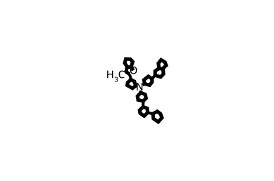 Cc1c(-c2cccc(N(c3ccc(-c4cccc(-c5ccccc5)c4)cc3)c3ccc(-c4ccc5ccccc5c4)cc3)c2)oc2ccccc12